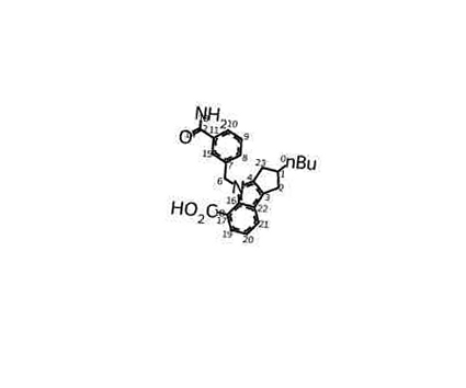 CCCCC1Cc2c(n(Cc3cccc(C(N)=O)c3)c3c(C(=O)O)cccc23)C1